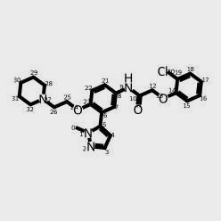 Cn1nccc1-c1cc(NC(=O)COc2ccccc2Cl)ccc1OCCN1CCCCC1